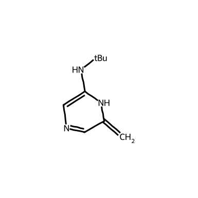 C=C1C=NC=C(NC(C)(C)C)N1